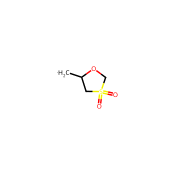 [CH2]C1CS(=O)(=O)CO1